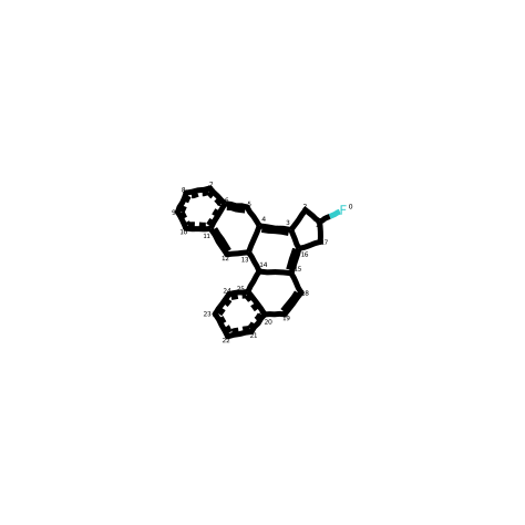 FC1CC2=C3C=c4ccccc4=CC3C3C(=C2C1)C=Cc1ccccc13